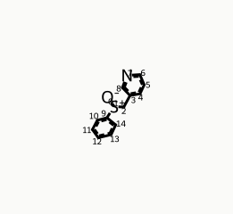 [O-][S+](Cc1cccnc1)c1ccccc1